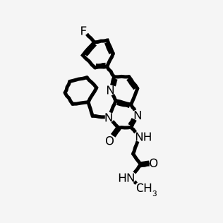 CNC(=O)CNc1nc2ccc(-c3ccc(F)cc3)nc2n(CC2CCCCC2)c1=O